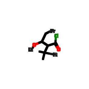 CCOC(CC(C)C)C(C(=O)Cl)C(C)(C)CC